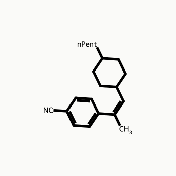 CCCCCC1CCC(C=C(C)c2ccc(C#N)cc2)CC1